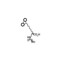 CC(C)(C)OC(=O)NCCN(CCCCCCCC1c2ccccc2-c2ccccc21)C(=O)O